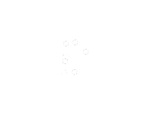 CC(C)(C)[Si](C)(C)OCc1ccc(F)c(C2(O)O[C@H](COCc3ccccc3)[C@@H](OCc3ccccc3)[C@H](OCc3ccccc3)[C@H]2OCc2ccccc2)c1